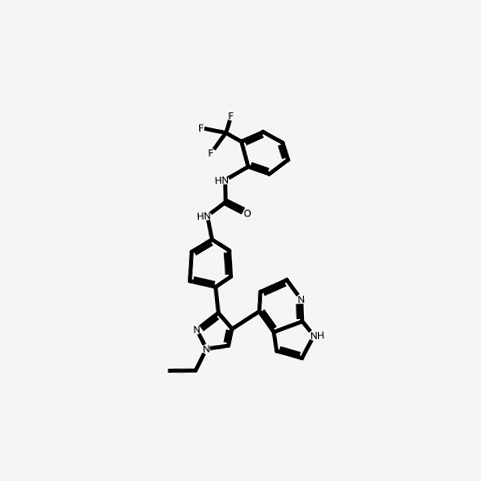 CCn1cc(-c2ccnc3[nH]ccc23)c(-c2ccc(NC(=O)Nc3ccccc3C(F)(F)F)cc2)n1